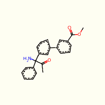 COC(=O)c1cccc(-c2cccc(C(N)(C(C)=O)c3ccccc3)c2)c1